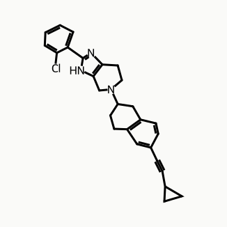 Clc1ccccc1-c1nc2c([nH]1)CN(C1CCc3cc(C#CC4CC4)ccc3C1)CC2